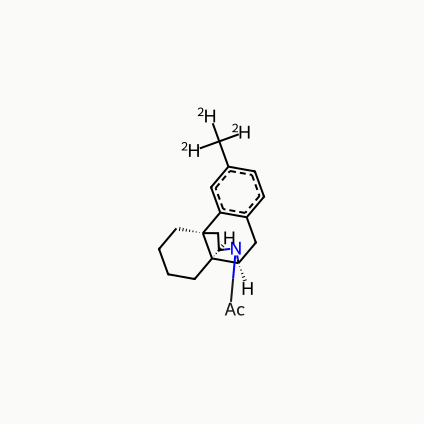 [2H]C([2H])([2H])c1ccc2c(c1)[C@]13CCCC[C@@H]1[C@H](C2)N(C(C)=O)CC3